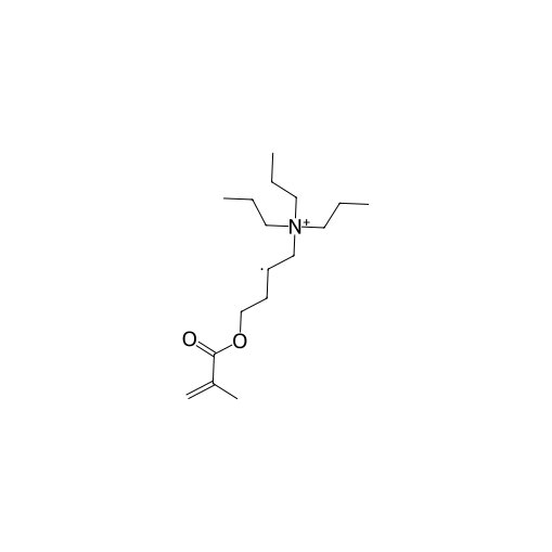 C=C(C)C(=O)OCC[CH]C[N+](CCC)(CCC)CCC